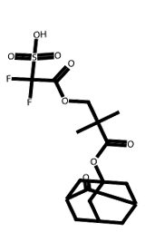 CC(C)(COC(=O)C(F)(F)S(=O)(=O)O)C(=O)OC12CC3CC(C1)C(=O)C(C3)C2